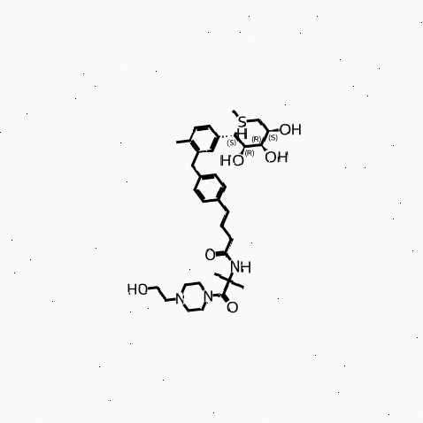 Cc1ccc([C@H]2[C@H](O)[C@H](O)[C@H](O)C[SH]2C)cc1Cc1ccc(CCCC(=O)NC(C)(C)C(=O)N2CCN(CCO)CC2)cc1